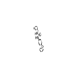 O=C(NCc1cccnc1)Nc1ccc(Oc2ccccc2)cc1